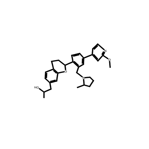 COc1cc(-c2ccc(C3CCc4ccc(CC(C)O)cc4O3)c(CN3CCCC3C)c2)ccn1